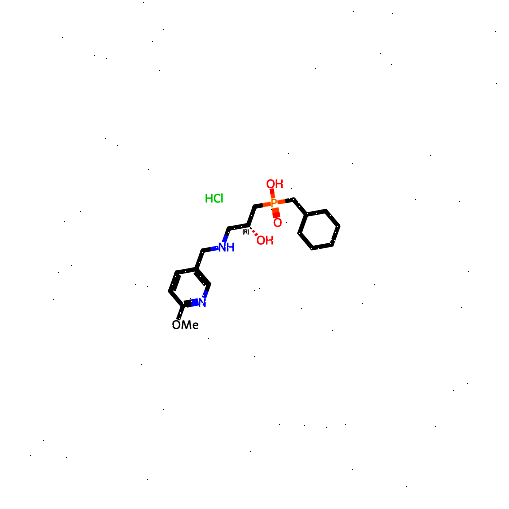 COc1ccc(CNC[C@@H](O)CP(=O)(O)CC2CCCCC2)cn1.Cl